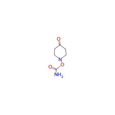 NC(=O)ON1CCC(=O)CC1